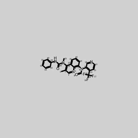 Cc1cnc2c(N(C=O)c3cnccc3C(F)(F)F)cccc2c1N(C)C(=O)Nc1ccccc1